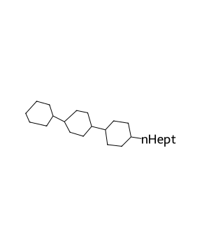 CCCCCCCC1CCC(C2CCC(C3CCCCC3)CC2)CC1